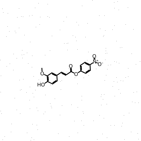 COc1cc(C=CC(=O)Oc2ccc([N+](=O)[O-])cc2)ccc1O